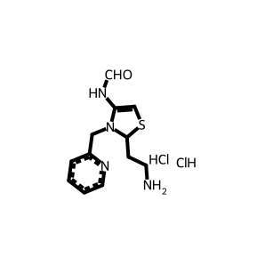 Cl.Cl.NCCC1SC=C(NC=O)N1Cc1ccccn1